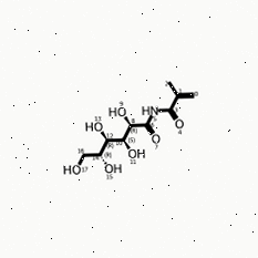 C=C(C)C(=O)NC(=O)[C@H](O)[C@@H](O)[C@H](O)[C@H](O)CO